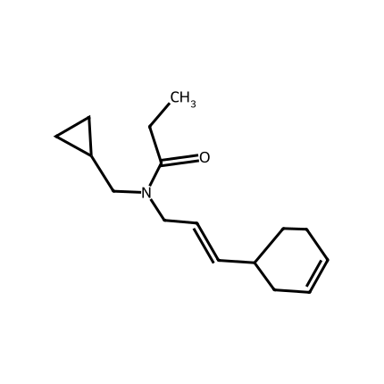 CCC(=O)N(C/C=C/C1CC=CCC1)CC1CC1